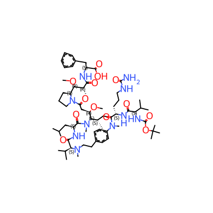 CC[C@H](C)[C@@H]([C@@H](CC(=O)N1CCC[C@H]1[C@H](OC)[C@@H](C)C(=O)N[C@@H](Cc1ccccc1)C(=O)O)OC)N(C)C(=O)[C@H](CC(C)C)NC(=O)[C@H](C(C)C)N(C)CCc1ccc(N(C)C(=O)[C@H](CCCNC(N)=O)NC(=O)[C@@H](NC(=O)OC(C)(C)C)C(C)C)cc1